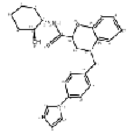 O=C(N[C@H]1CCCC[C@@H]1O)C1CN(Cc2ccc(-n3ccnc3)cc2)c2ccccc2O1